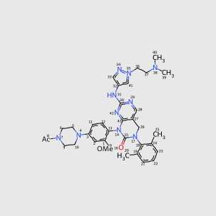 COc1cc(N2CCN(C(C)=O)CC2)ccc1N1C(=O)N(c2c(C)cccc2C)Cc2cnc(Nc3cnn(CCN(C)C)c3)nc21